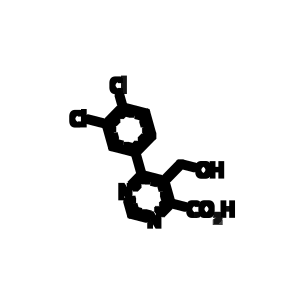 O=C(O)c1ncnc(-c2ccc(Cl)c(Cl)c2)c1CO